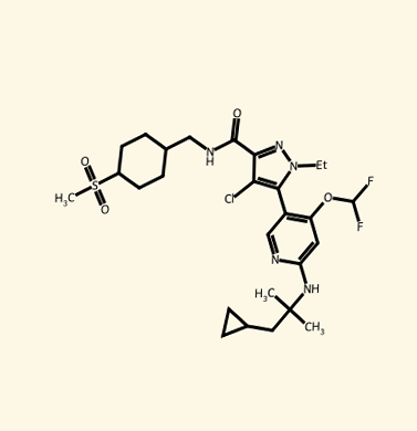 CCn1nc(C(=O)NCC2CCC(S(C)(=O)=O)CC2)c(Cl)c1-c1cnc(NC(C)(C)CC2CC2)cc1OC(F)F